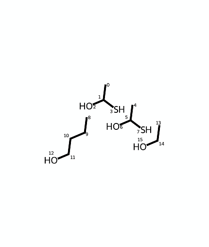 CC(O)S.CC(O)S.CCCCO.CCO